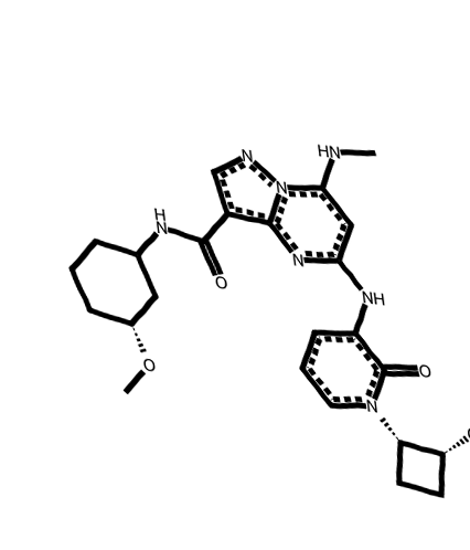 CNc1cc(Nc2cccn([C@H]3CC[C@H]3O)c2=O)nc2c(C(=O)NC3CCC[C@@H](OC)C3)cnn12